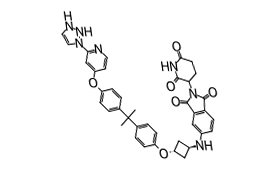 CC(C)(c1ccc(Oc2ccnc(N3C=CNN3)c2)cc1)c1ccc(O[C@H]2C[C@H](Nc3ccc4c(c3)C(=O)N(C3CCC(=O)NC3=O)C4=O)C2)cc1